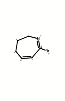 BrC1=NCCCC=C1